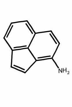 Nc1ccc2cccc3c2c1C=C3